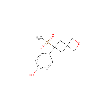 CS(=O)(=O)C1(c2ccc(O)cc2)CC2(COC2)C1